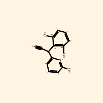 N#CC(c1cccc(Cl)n1)c1c(Cl)cccc1Cl